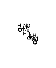 C[C@@H](N[C@H](CCCCNC(=O)OCc1ccccc1Cl)C(N)=O)c1ccccc1